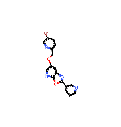 Brc1ccc(COc2cnc3oc(-c4cccnc4)nc3c2)nc1